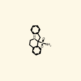 NS(=O)(=O)C1(Cc2ccccc2)NCCc2ccccc21